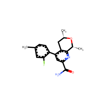 Cc1ccc(-c2cc(C(N)=O)nc3c2C[C@H](C)O[C@@H]3C)c(F)c1